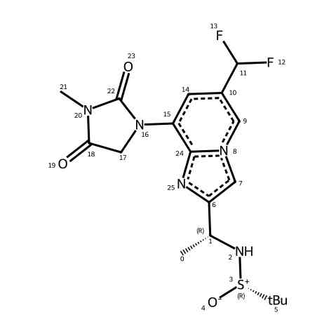 C[C@@H](N[S@@+]([O-])C(C)(C)C)c1cn2cc(C(F)F)cc(N3CC(=O)N(C)C3=O)c2n1